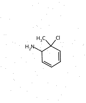 CC1(Cl)C=CC=CC1N